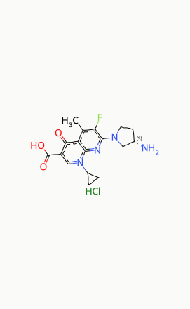 Cc1c(F)c(N2CC[C@H](N)C2)nc2c1c(=O)c(C(=O)O)cn2C1CC1.Cl